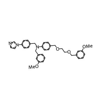 COc1cccc(COCCOCc2ccc(N(Cc3ccc(-n4ccnc4)cc3)Cc3cccc(OC)c3)cc2)c1